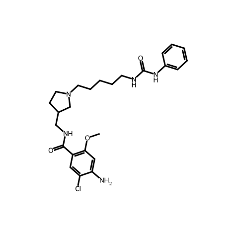 COc1cc(N)c(Cl)cc1C(=O)NCC1CCN(CCCCCNC(=O)Nc2ccccc2)C1